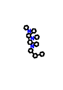 C1=CC2c3ccc4c(c3N(c3ccccc3)C2c2c1n(-c1cccc(-c3cccc(-c5ccccc5)c3)c1)c1ccccc21)c1ccccc1n4-c1ccccc1